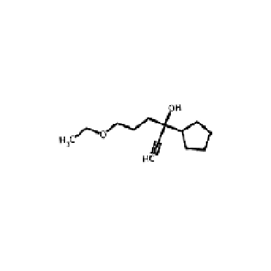 C#CC(O)(CCCOCC)C1CCCC1